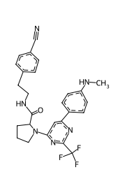 CNc1ccc(-c2cc(N3CCCC3C(=O)NCCc3ccc(C#N)cc3)nc(C(F)(F)F)n2)cc1